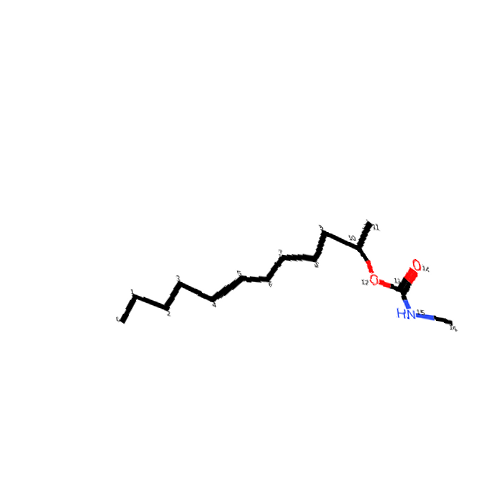 CCCCCCCCCCC(C)OC(=O)NC